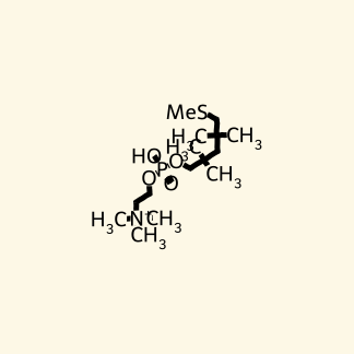 CSCC(C)(C)CC(C)(C)COP(=O)(O)OCC[N+](C)(C)C